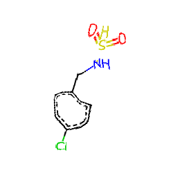 O=[SH](=O)NCc1ccc(Cl)cc1